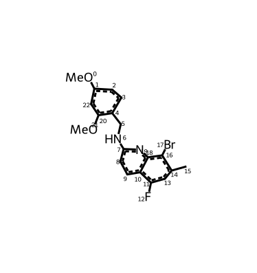 COc1ccc(CNc2ccc3c(F)cc(C)c(Br)c3n2)c(OC)c1